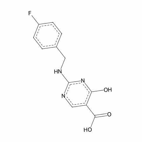 O=C(O)c1cnc(NCc2ccc(F)cc2)nc1O